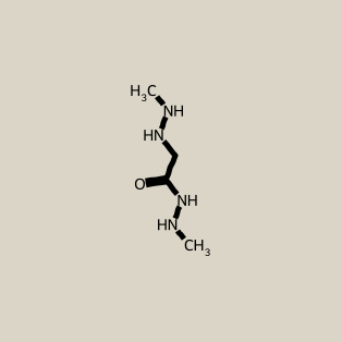 CNNCC(=O)NNC